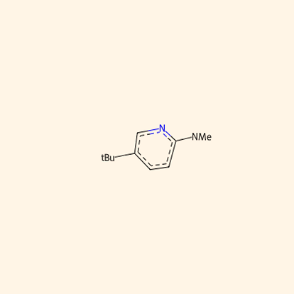 CNc1ccc(C(C)(C)C)cn1